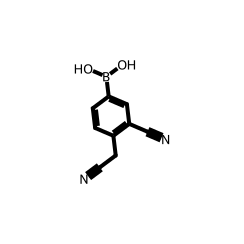 N#CCc1ccc(B(O)O)cc1C#N